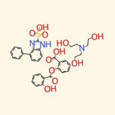 O=C(Oc1ccccc1C(=O)O)c1ccccc1O.O=S(=O)(O)c1nc2c(-c3ccccc3)cccc2[nH]1.OCCN(CCO)CCO